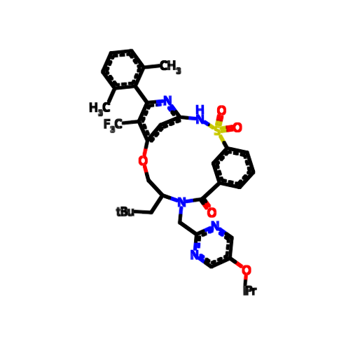 Cc1cccc(C)c1-c1nc2cc(c1C(F)(F)F)OCC(CC(C)(C)C)N(Cc1ncc(OC(C)C)cn1)C(=O)c1cccc(c1)S(=O)(=O)N2